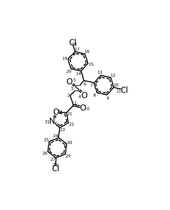 O=C(CS(=O)(=O)C(c1ccc(Cl)cc1)c1ccc(Cl)cc1)c1cc(-c2ccc(Cl)cc2)no1